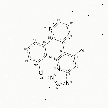 Cc1cc2ncnn2cc1-c1cccnc1-c1cccc(Cl)c1